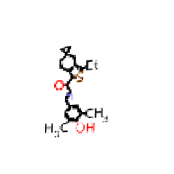 CCc1sc(C(=O)/C=C/c2cc(C)c(O)c(C)c2)c2c1CC1(CC2)CC1